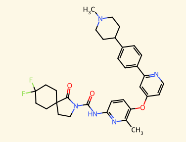 Cc1nc(NC(=O)N2CCC3(CCC(F)(F)CC3)C2=O)ccc1Oc1ccnc(-c2ccc(C3CCN(C)CC3)cc2)c1